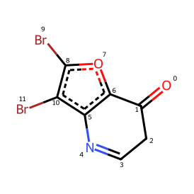 O=C1CC=Nc2c1oc(Br)c2Br